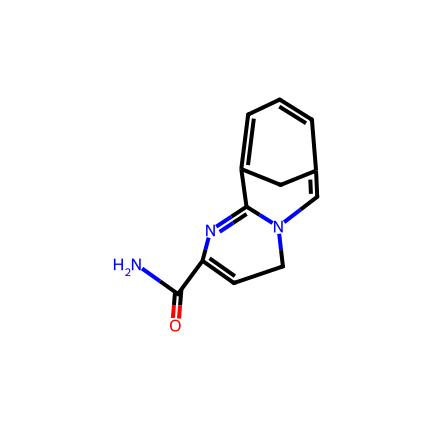 NC(=O)C1=CCN2C=C3C=CC=C(C3)C2=N1